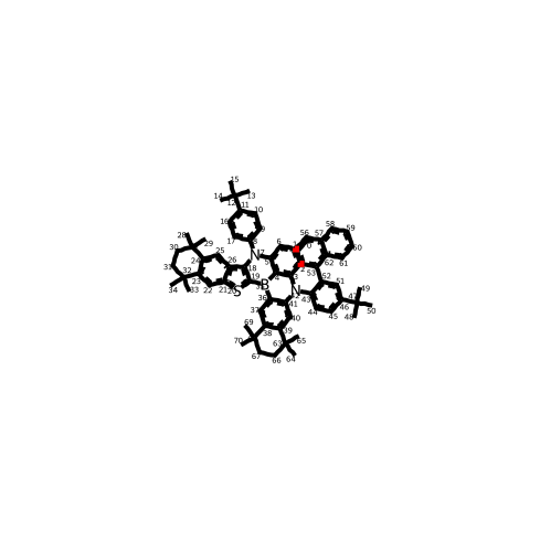 Cc1cc2c3c(c1)N(c1ccc(C(C)(C)C)cc1)c1c(sc4cc5c(cc14)C(C)(C)CCC5(C)C)B3c1cc3c(cc1N2c1ccc(C(C)(C)C)cc1-c1cccc2ccccc12)C(C)(C)CCC3(C)C